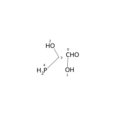 O=CO.OCP